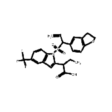 C=CC(c1ccc2c(c1)CCO2)S(=O)(=O)n1c(C(CC)C(=O)O)cc2cc(C(F)(F)F)ccc21